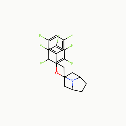 Fc1cc(F)cc(CCCN2C3CCC2CC(Oc2c(F)c(F)c(F)c(F)c2F)C3)c1